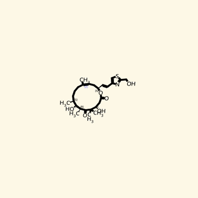 C/C1=C/C[C@@H](C=Cc2csc(CO)n2)OC(=O)C[C@H](O)C(C)(C)C(=O)[C@H](C)[C@@H](O)[C@@H](C)CCC1